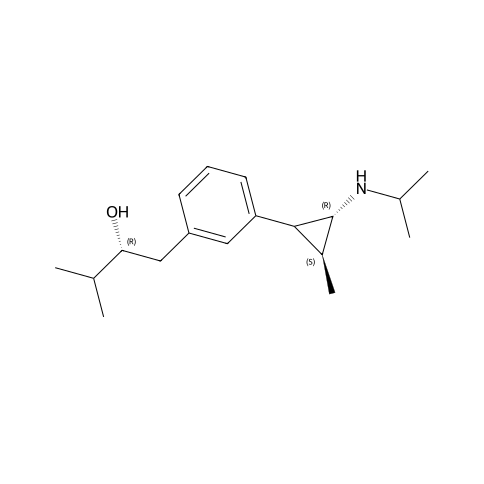 CC(C)N[C@H]1C(c2cccc(C[C@@H](O)C(C)C)c2)[C@@H]1C